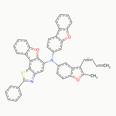 C=C/C=C\c1c(C)oc2ccc(N(c3ccc4c(c3)oc3ccccc34)c3cc4nc(-c5ccccc5)sc4c4c3oc3ccccc34)cc12